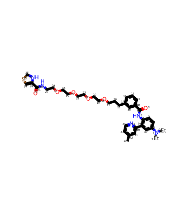 CCN(CC)c1ccc(NC(=O)c2cccc(CCCOCCOCCOCCOCCNC(=O)C3=CSCN3)c2)c(-c2cc(C)ccn2)c1